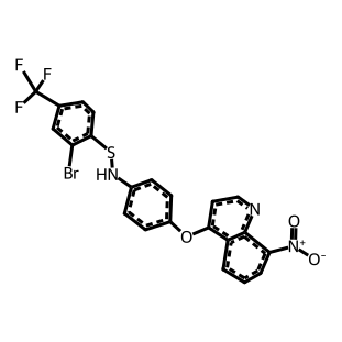 O=[N+]([O-])c1cccc2c(Oc3ccc(NSc4ccc(C(F)(F)F)cc4Br)cc3)ccnc12